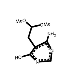 COC(Cc1c(N)ncnc1O)OC